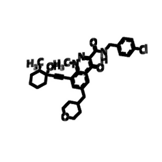 C[C@@H]1CCCC[C@@]1(O)C#Cc1cc(CC2CCOCC2)cc2c(=O)c(C(=O)NCc3ccc(Cl)cc3)nn(C)c12